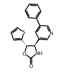 O=C1N[C@H](c2cncc(-c3ccccc3)c2)[C@@H](c2cccs2)O1